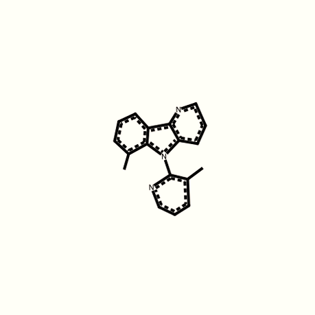 Cc1cccnc1-n1c2cccnc2c2cccc(C)c21